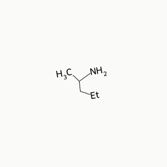 [CH2]CCC(C)N